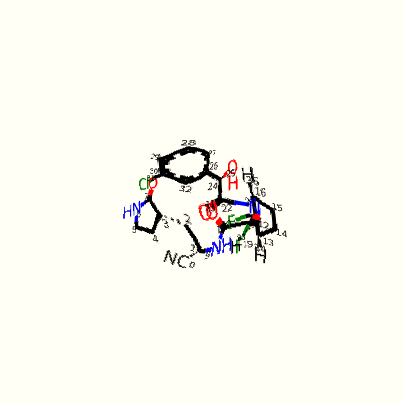 N#C[C@H](C[C@@H]1CCNC1=O)NC(=O)[C@@H]1[C@H]2CC[C@H](CC2(F)F)N1C(=O)[C@H](O)c1cccc(Cl)c1